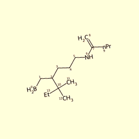 BCC(CCCNC(=C)CCC)C(C)(C)CC